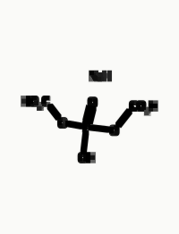 O=C(O)OP(=O)(O)OC(=O)O.[NaH]